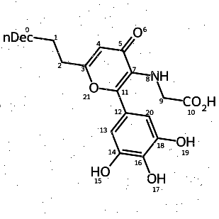 CCCCCCCCCCCCc1cc(=O)c(NCC(=O)O)c(-c2cc(O)c(O)c(O)c2)o1